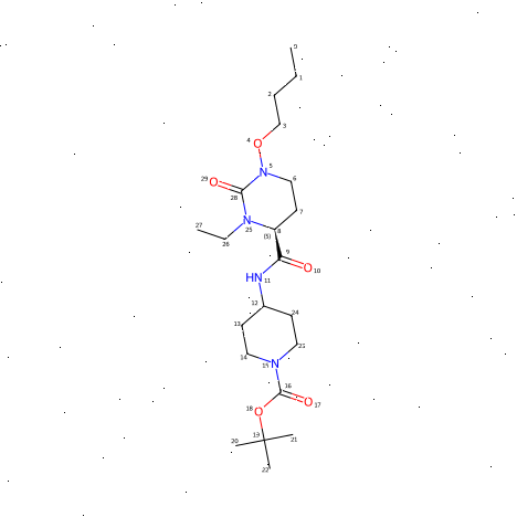 CCCCON1CC[C@@H](C(=O)NC2CCN(C(=O)OC(C)(C)C)CC2)N(CC)C1=O